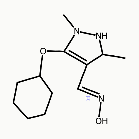 CC1NN(C)C(OC2CCCCC2)=C1/C=N/O